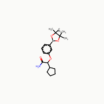 CC1(C)OB(c2cccc(OC(C(N)=O)C3CCCC3)c2)OC1(C)C